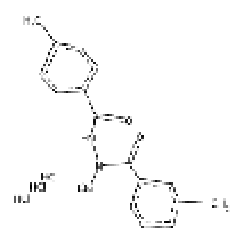 Cc1ccc(C(=O)NN(C(=O)c2cccc(C)c2)C(C)(C)C)cc1.Cl.Cl.Cl